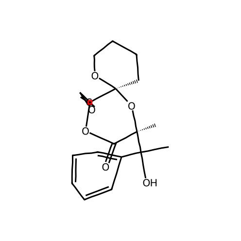 CC(O)(c1ccccc1)[C@]1(C)O[C@@]2(CCCCO2)[C@@]2(CCCCO2)OC1=O